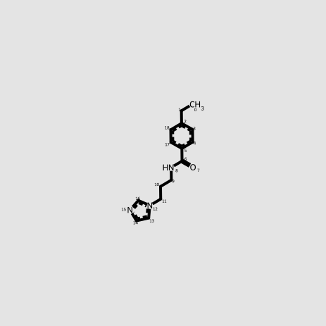 CCc1ccc(C(=O)NCCCn2ccnc2)cc1